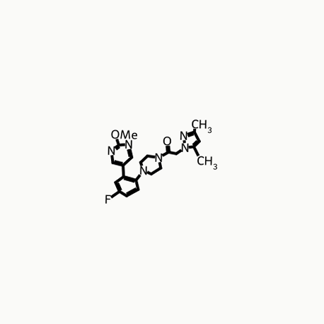 COc1ncc(-c2cc(F)ccc2N2CCN(C(=O)Cn3nc(C)cc3C)CC2)cn1